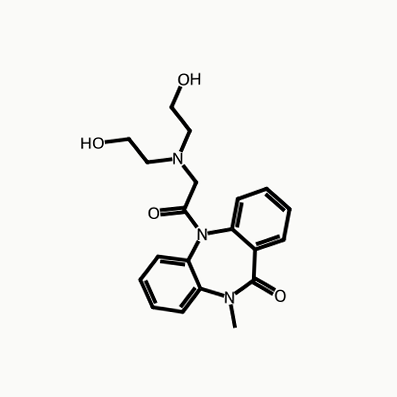 CN1C(=O)c2ccccc2N(C(=O)CN(CCO)CCO)c2ccccc21